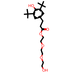 CC(C)(C)c1cc(CCC(=O)OCCOCCOCCO)cc(C(C)(C)C)c1O